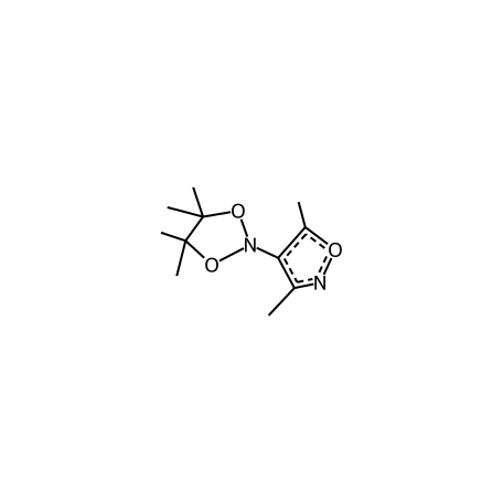 Cc1noc(C)c1N1OC(C)(C)C(C)(C)O1